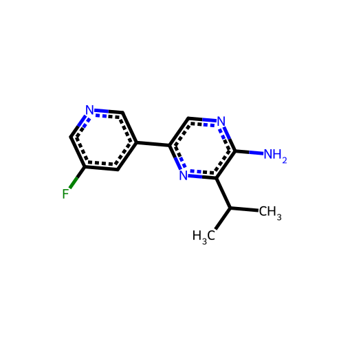 CC(C)c1nc(-c2cncc(F)c2)cnc1N